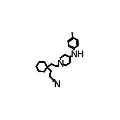 Cc1ccc(NC2CCN(CCC3(CCC#N)CCCCC3)CC2)cc1